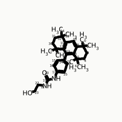 CC1(C)CCC(C)(C)c2c1cc1c(c2-c2ccc(NC(=O)NCCO)cc2)C(C)(C)CCC1(C)C